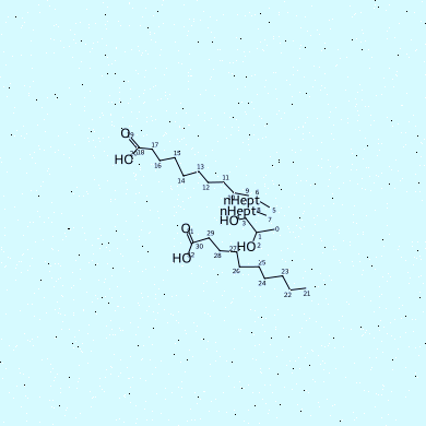 CC(O)CO.CCCCCCCC.CCCCCCCC.CCCCCCCCCC(=O)O.CCCCCCCCCC(=O)O